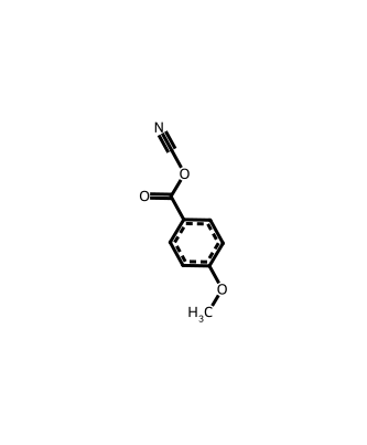 COc1ccc(C(=O)OC#N)cc1